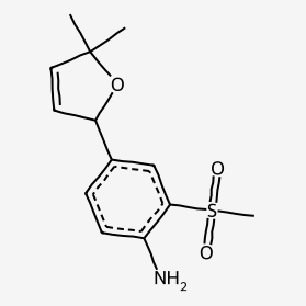 CC1(C)C=CC(c2ccc(N)c(S(C)(=O)=O)c2)O1